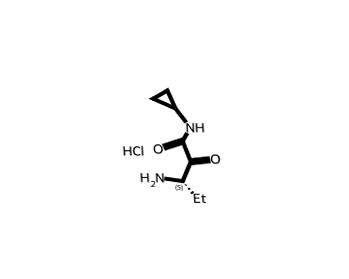 CC[C@H](N)C(=O)C(=O)NC1CC1.Cl